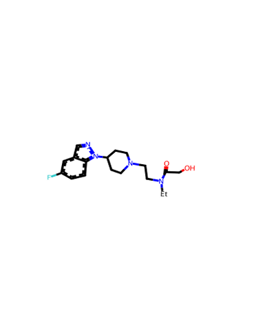 CCN(CCN1CCC(n2ncc3cc(F)ccc32)CC1)C(=O)CO